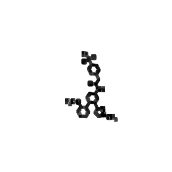 CCS(=O)(=O)c1ccc(CC(=O)Nc2ccc(-c3ccccc3OC(F)(F)F)c(-c3ccn(C)n3)c2)cc1